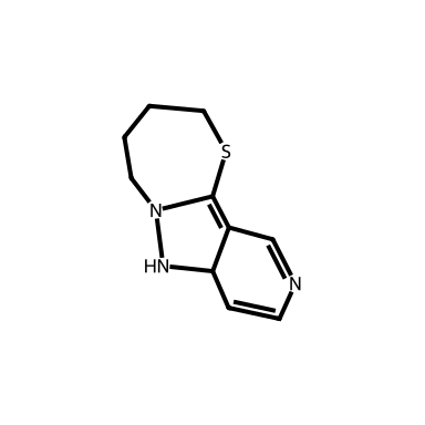 C1=CC2NN3CCCCSC3=C2C=N1